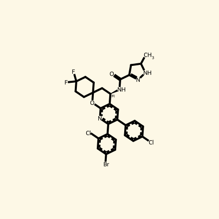 CC1CC(C(=O)N[C@@H]2CC3(CCC(F)(F)CC3)Oc3nc(-c4ccc(Br)cc4Cl)c(-c4ccc(Cl)cc4)cc32)=NN1